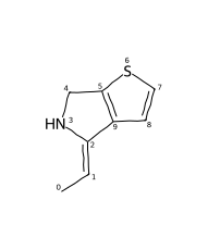 C/C=C1\NCc2sccc21